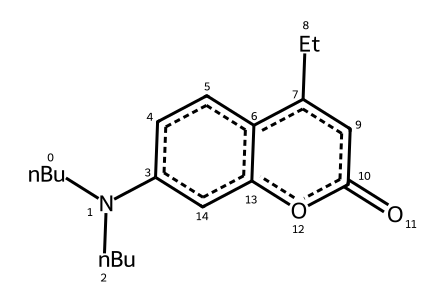 CCCCN(CCCC)c1ccc2c(CC)cc(=O)oc2c1